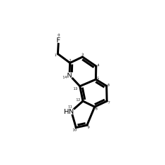 FCc1ccc2ccc3cc[nH]c3c2n1